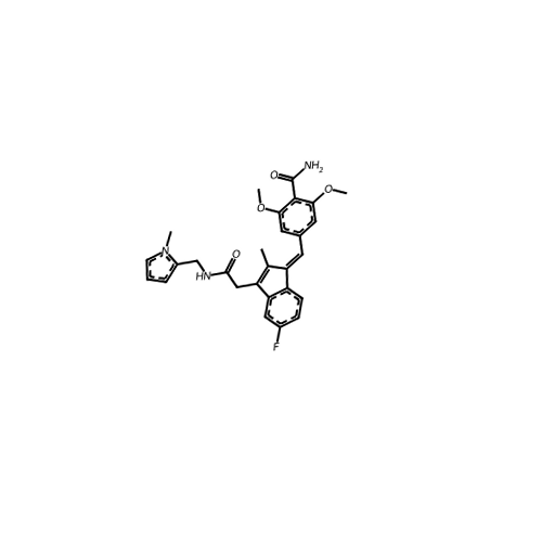 COc1cc(C=C2C(C)=C(CC(=O)NCc3cccn3C)c3cc(F)ccc32)cc(OC)c1C(N)=O